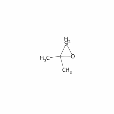 CC1(C)O[SiH2]1